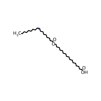 CCCCCCCC/C=C\CCCCCCCC(=O)OCCCCCCCCCCCCCCCCC(=O)O